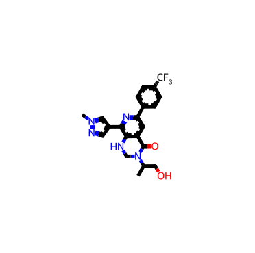 CC(CO)N1CNc2c(cc(-c3ccc(C(F)(F)F)cc3)nc2-c2cnn(C)c2)C1=O